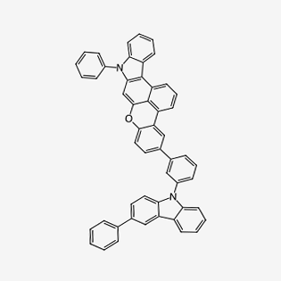 c1ccc(-c2ccc3c(c2)c2ccccc2n3-c2cccc(-c3ccc4c(c3)-c3cccc5c3c(cc3c5c5ccccc5n3-c3ccccc3)O4)c2)cc1